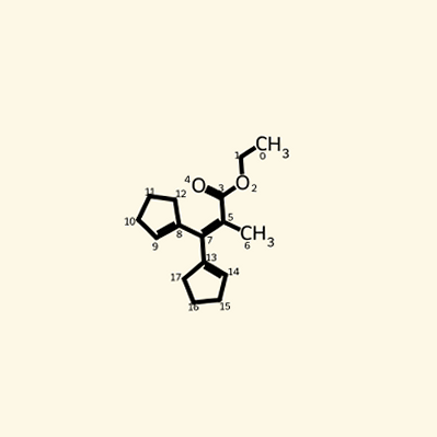 CCOC(=O)C(C)=C(C1=CCCC1)C1=CCCC1